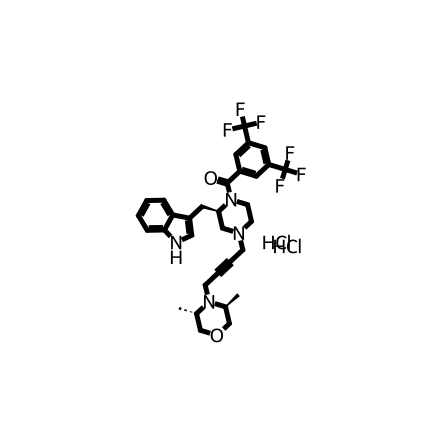 C[C@H]1COC[C@H](C)N1CC#CCN1CCN(C(=O)c2cc(C(F)(F)F)cc(C(F)(F)F)c2)[C@H](Cc2c[nH]c3ccccc23)C1.Cl.Cl